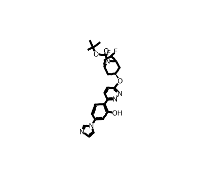 CC(C)(C)OC(=O)N1C2C[C@H](Oc3ccc(-c4ccc(-n5ccnc5)cc4O)nn3)CC1C(F)(F)C2